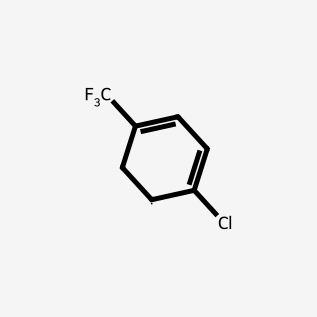 FC(F)(F)C1=CC=C(Cl)[CH]C1